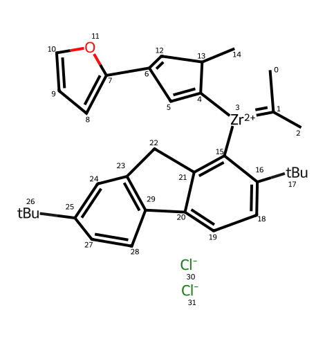 C[C](C)=[Zr+2]([C]1=CC(c2ccco2)=CC1C)[c]1c(C(C)(C)C)ccc2c1Cc1cc(C(C)(C)C)ccc1-2.[Cl-].[Cl-]